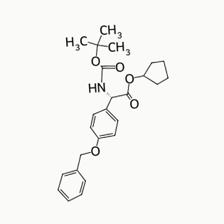 CC(C)(C)OC(=O)N[C@H](C(=O)OC1CCCC1)c1ccc(OCc2ccccc2)cc1